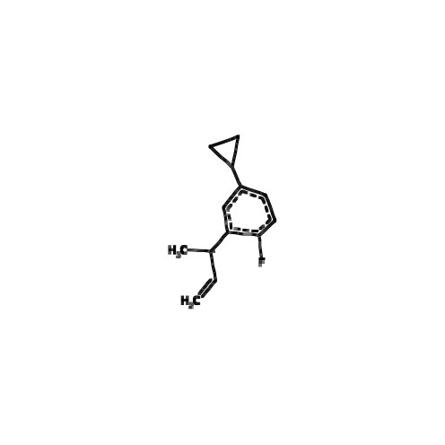 C=C[C](C)c1cc(C2CC2)ccc1F